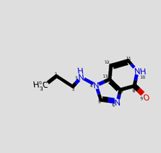 CCCNn1cnc2c(=O)[nH]ccc21